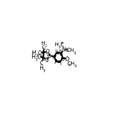 COc1ccc(B2OC(C)(C)C(C)(C)O2)cc1N(C)C